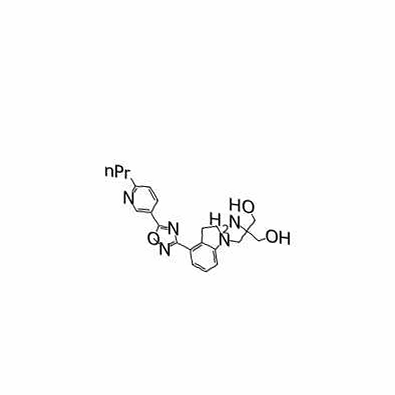 CCCc1ccc(-c2nc(-c3cccc4c3CCN4CC(N)(CO)CO)no2)cn1